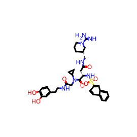 N=C(N)N1CCC[C@@H](CNC(=O)C[C@H](NS(=O)(=O)c2ccc3ccccc3c2)C(=O)N(CC(=O)NCCc2ccc(O)c(O)c2)C2CC2)C1